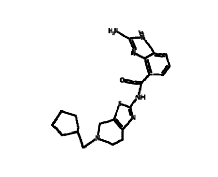 Nc1nc2c(C(=O)Nc3nc4c(s3)CN(CC3CCCC3)CC4)cccc2[nH]1